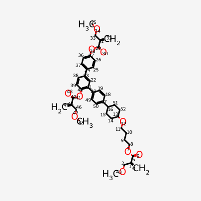 C=C(COC)C(=O)OCCCCOC1CCC(c2ccc(-c3cc(-c4ccc(OC(=O)C(=C)COC)cc4)ccc3OC(=O)C(=C)COC)cc2)CC1